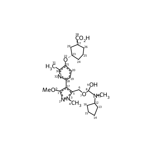 COc1nn(C)c(COC(O)N(C)C2CCCC2)c1-c1ccc(O[C@H]2CCC[C@H](C(=O)O)C2)c(C)n1